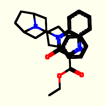 CCOC(=O)c1nc2ccccc2n(C2CC3CCC(C2)N3C2Cc3ccccc3C2)c1=O